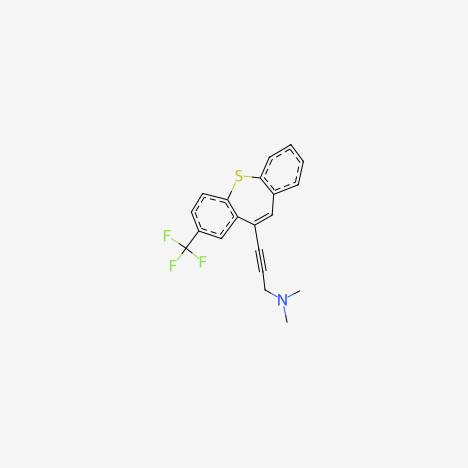 CN(C)CC#CC1=Cc2ccccc2Sc2ccc(C(F)(F)F)cc21